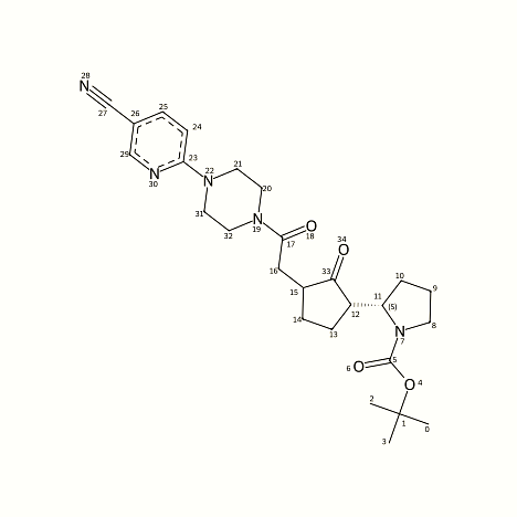 CC(C)(C)OC(=O)N1CCC[C@H]1C1CCC(CC(=O)N2CCN(c3ccc(C#N)cn3)CC2)C1=O